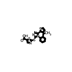 CCc1ccccc1-n1c(Sc2ncc(C(=O)O)s2)nnc1-c1cccs1